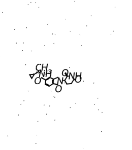 C[C@H](NC(=O)c1ccc2c(c1)CN(C1CCC(=O)NC1=O)C2=O)C1CC1